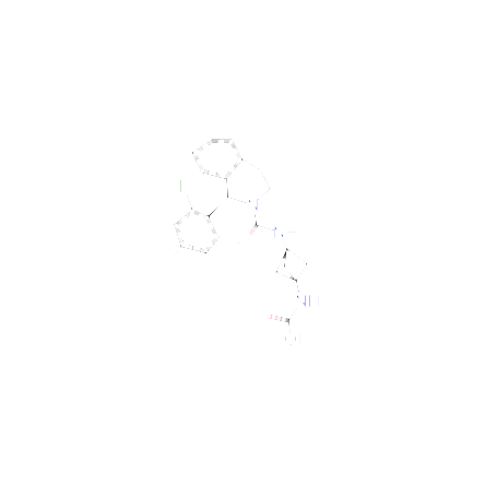 O=C(O)NC12CC(NC(=O)N3CCc4ccccc4[C@@H]3c3ccc(F)cc3F)(C1)C2